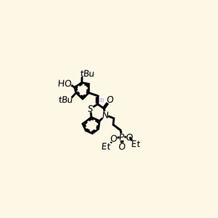 CCOP(=O)(CCCN1C(=O)/C(=C/c2cc(C(C)(C)C)c(O)c(C(C)(C)C)c2)Sc2ccccc21)OCC